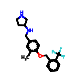 Cc1cc(CNC2CCNC2)ccc1OCc1ccccc1C(F)(F)F